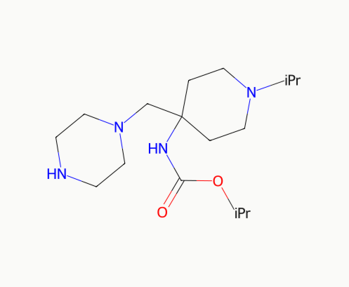 CC(C)OC(=O)NC1(CN2CCNCC2)CCN(C(C)C)CC1